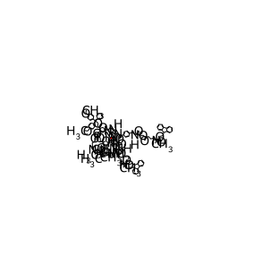 COc1ccc(C(OC[C@H]2O[C@@H](n3cnc4c(NC(=O)c5ccc(CNC(=O)COC(=O)CCCN(C)C(=O)OCC6c7ccccc7-c7ccccc76)cc5)ncnc43)CC2OP(OCCC#N)OC[C@H]2O[C@@H](n3cnc4c(=O)[nH]c(NC(=O)CCCN(C)C(=O)OCC5c6ccccc6-c6ccccc65)nc43)CC2OP(OCCN)N(C(C)C)C(C)C)(c2ccccc2)c2ccc(OC)cc2)cc1